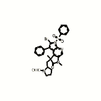 CN1C(=O)C(C)(CC2CCCN2C=O)c2c1cnc1c2c(-c2ccccc2)c(Br)n1S(=O)(=O)c1ccccc1